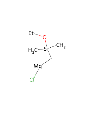 CCO[Si](C)(C)[CH2][Mg][Cl]